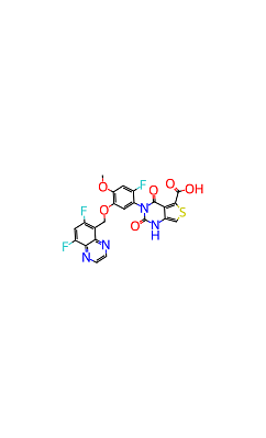 COc1cc(F)c(-n2c(=O)[nH]c3csc(C(=O)O)c3c2=O)cc1OCc1c(F)cc(F)c2nccnc12